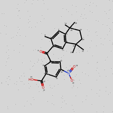 Cc1cc2c(cc1C(=O)c1cc(C(=O)O)cc([N+](=O)[O-])c1)C(C)(C)CCC2(C)C